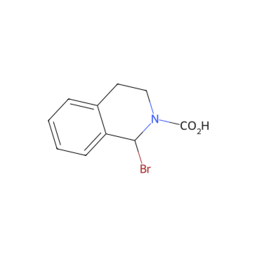 O=C(O)N1CCc2ccccc2C1Br